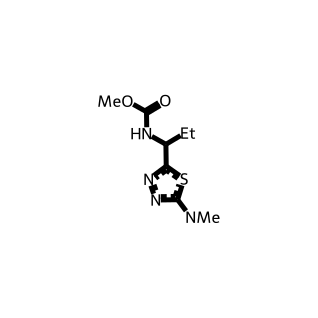 CCC(NC(=O)OC)c1nnc(NC)s1